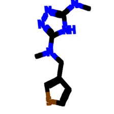 CNc1nnc(N(C)Cc2ccsc2)[nH]1